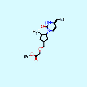 CCC=C1C=CN(C2CC(COCC(=O)OC(C)C)CC2C)C(=O)N1